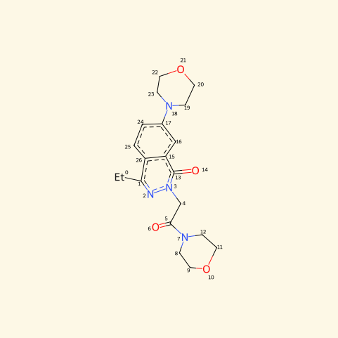 CCc1nn(CC(=O)N2CCOCC2)c(=O)c2cc(N3CCOCC3)ccc12